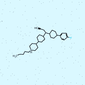 C#CCC(C1CCC(c2ccc(F)cc2)CC1)C1CCC(C2CC[SiH](CCCCC)CC2)CC1